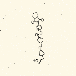 O=C(O)Cc1ccc(OCC2CCN(C(=O)Oc3ccc(N4C(=O)C5CCCCC5C4=O)cn3)CC2)cc1